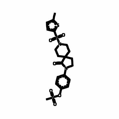 Cc1ccc(S(=O)(=O)N2CCC3(CCN(c4ccc(OS(C)(=O)=O)cc4)C3=O)CC2)s1